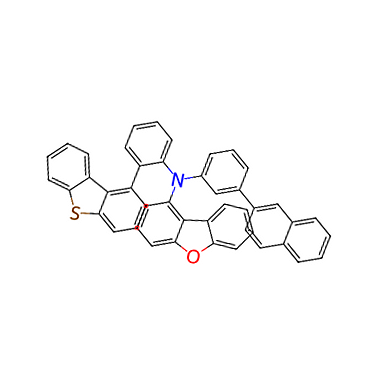 c1cc(-c2ccc3ccccc3c2)cc(N(c2ccccc2-c2cccc3sc4ccccc4c23)c2cccc3oc4ccccc4c23)c1